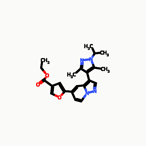 CCOC(=O)c1coc(-c2ccn3ncc(-c4c(C)nn(C(C)C)c4C)c3c2)c1